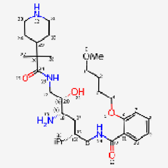 COCCCCOc1ccccc1C(=O)NC[C@@H](C[C@H](N)[C@@H](O)CNC(=O)C(C)(C)C1CCNCC1)C(C)C